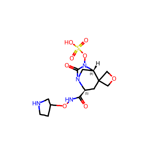 O=C(NOC1CCNC1)[C@@H]1CC2(COC2)[C@@H]2CN1C(=O)N2OS(=O)(=O)O